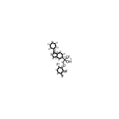 OC(COc1c(F)ccc(F)c1F)(c1ccc2c(cnn2-c2ccccc2)c1)C(F)(F)F